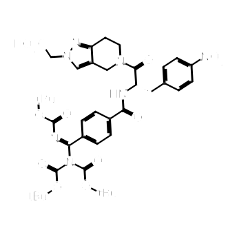 CC(C)(C)OC(=O)N=C(c1ccc(C(=O)N[C@@H](Cc2ccc([N+](=O)[O-])cc2)C(=O)N2CCc3nn(CC(=O)O)cc3C2)cc1)N(C(=O)OC(C)(C)C)C(=O)OC(C)(C)C